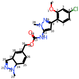 COc1cc(Cl)ccc1-c1cc(NC(=O)OCC2=CC3C=NN(C)C3C=C2)n(C)n1